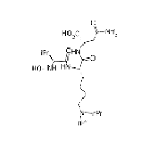 CCCN(CCC)CCCC[C@H](NC(=O)[C@@H](NO)C(C)C)C(=O)N[C@@H](CC(N)=O)C(=O)O